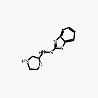 c1ccc2sc(SNC3CNCCO3)nc2c1